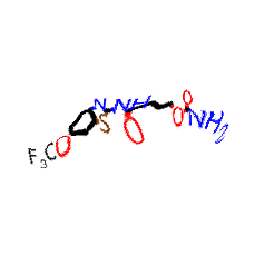 NC(=O)OCCCC(=O)Nc1nc2ccc(OC(F)(F)F)cc2s1